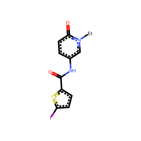 CCn1cc(NC(=O)c2ccc(I)s2)ccc1=O